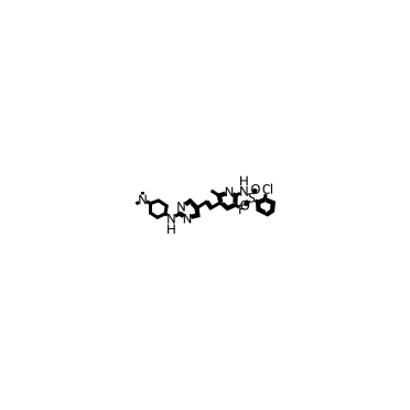 Cc1nc(NS(=O)(=O)c2ccccc2Cl)c(F)cc1/C=C/c1cnc(NC2CCC(N(C)C)CC2)nc1